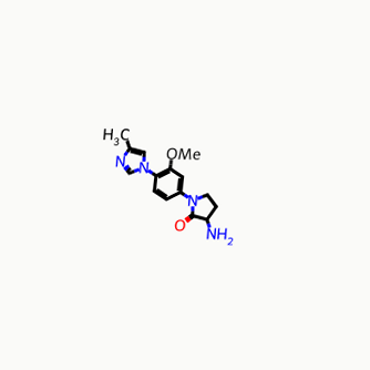 COc1cc(N2CCC(N)C2=O)ccc1-n1cnc(C)c1